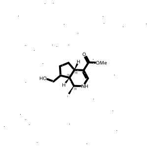 COC(=O)C1=CN[C@@H](C)[C@@H]2C(CO)CC[C@H]12